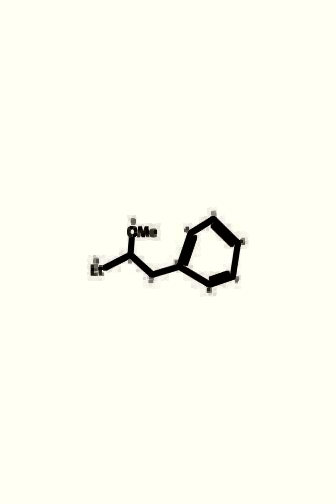 CCC(Cc1ccccc1)OC